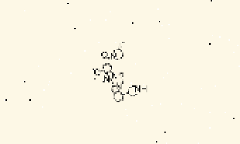 CC[C@@H]1CCCN(C(=O)c2cc(OC)c3c(c2)nc(-c2cc4cccc(C5CCNCC5)c4n2CC2CC2)n3C)C1